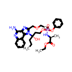 CCC[C@](O)(CCO[P@](=O)(N[C@@H](C)C(=O)OCC)Oc1ccccc1)n1c(COCC)nc2c(N)nc3ccccc3c21